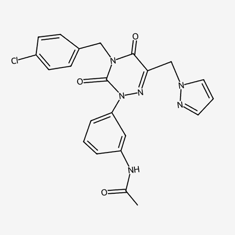 CC(=O)Nc1cccc(-n2nc(Cn3cccn3)c(=O)n(Cc3ccc(Cl)cc3)c2=O)c1